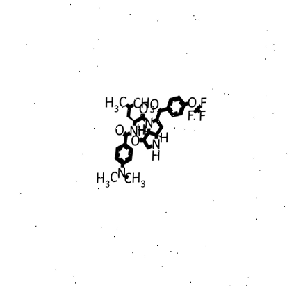 CC(C)C[C@H](NC(=O)c1ccc(N(C)C)cc1)C(=O)N1C(C(=O)c2ccc(OC(F)(F)F)cc2)C[C@H]2NCC(=O)[C@H]21